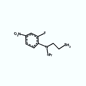 BCCN(CCC)c1ccc([N+](=O)[O-])cc1F